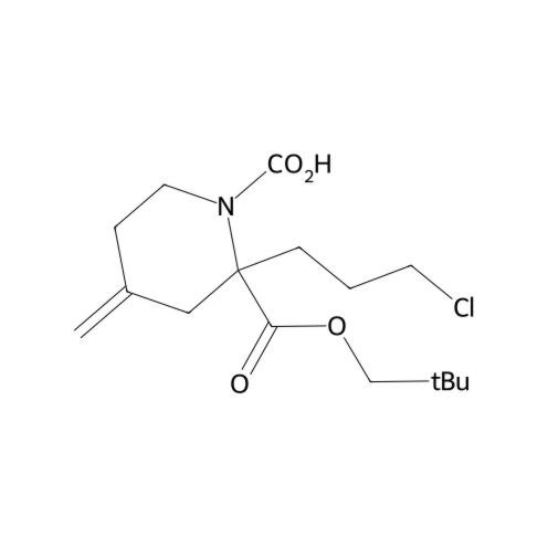 C=C1CCN(C(=O)O)C(CCCCl)(C(=O)OCC(C)(C)C)C1